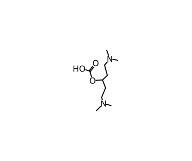 CN(C)CCC(CCN(C)C)OC(=O)O